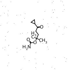 CC(C)(CCC(=O)C1CC1)OC(N)=O